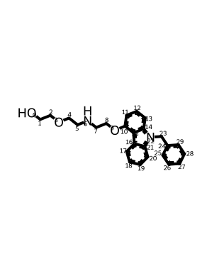 OCCOCCNCCOc1cccc2c1c1ccccc1n2Cc1ccccc1